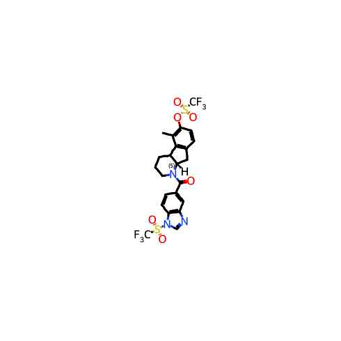 Cc1c(OS(=O)(=O)C(F)(F)F)ccc2c1C1CCCN(C(=O)c3ccc4c(c3)ncn4S(=O)(=O)C(F)(F)F)[C@H]1C2